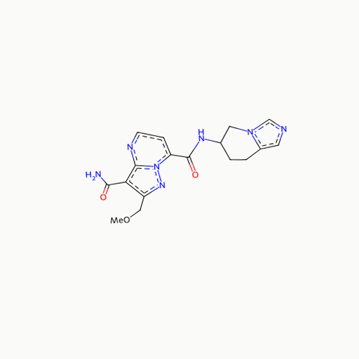 COCc1nn2c(C(=O)NC3CCc4cncn4C3)ccnc2c1C(N)=O